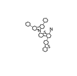 N#Cc1ccc(-c2ccc3c(c2)sc2ccccc23)c2c1sc1c(-n3c4ccc(-c5ccccc5)cc4c4cc(-c5ccccc5)ccc43)cccc12